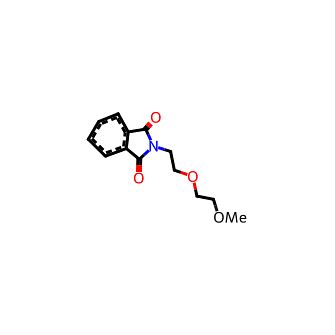 COCCOCCN1C(=O)c2ccccc2C1=O